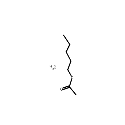 CCCCCOC(C)=O.O